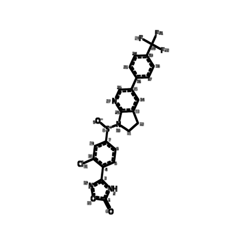 O=c1[nH]c(-c2ccc([S+]([O-])N3CCc4cc(-c5ccc(C(F)(F)F)cc5)cnc43)cc2Cl)no1